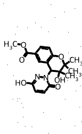 COC(=O)c1ccc2c(c1)C(n1nc(O)ccc1=O)C(C)(O)C(C)(C)O2